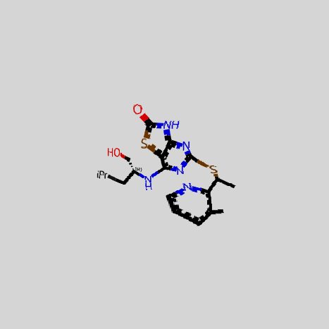 Cc1cccnc1C(C)Sc1nc(N[C@@H](CO)CC(C)C)c2sc(=O)[nH]c2n1